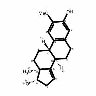 COc1cc2c(cc1O)CC[C@H]1C3=CC[C@H](O)[C@@]3(C)CC[C@H]21